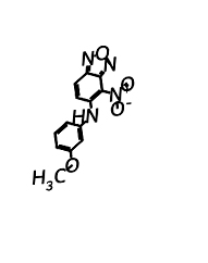 COc1cccc(Nc2ccc3nonc3c2[N+](=O)[O-])c1